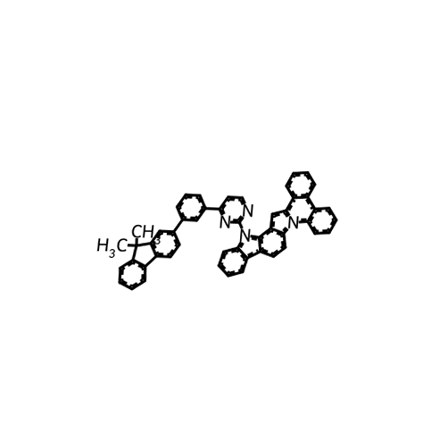 CC1(C)c2ccccc2-c2ccc(-c3cccc(-c4ccnc(-n5c6ccccc6c6ccc7c(cc8c9ccccc9c9ccccc9n87)c65)n4)c3)cc21